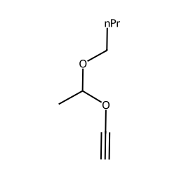 C#COC(C)OCCCC